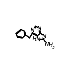 Nc1nc2ncnc(Cc3ccccc3)c2[nH]1